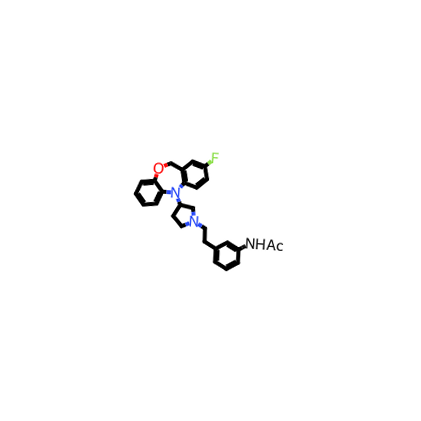 CC(=O)Nc1cccc(CCN2CCC(N3c4ccc(F)cc4COc4ccccc43)C2)c1